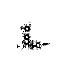 CC#CN1CCC(c2cnn3c(C(N)=O)c(-c4ccc(Oc5ccc(F)cc5F)cc4)[nH]c23)CC1